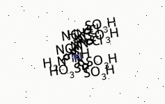 Cc1c(C#N)c(Nc2ccc(Cl)c(S(=O)(=O)O)c2)nc(Nc2ccc(Cl)c(S(=O)(=O)O)c2)c1N=Nc1sc(/N=N/c2cc(S(=O)(=O)O)c3cc(S(=O)(=O)O)cc(S(=O)(=O)O)c3c2)c(-c2ccc(N)cc2)c1C#N